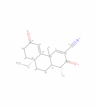 C[C@H]1C(=O)C(C#N)=CC2(C)C3=CC(=O)CC[C@]3(CF)CCC12